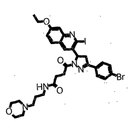 CCOc1ccc2cc(C3CC(c4ccc(Br)cc4)=NN3C(=O)CCC(=O)NCCCN3CCOCC3)c(I)nc2c1